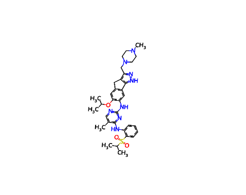 Cc1cnc(Nc2cc3c(cc2OC(C)C)Cc2c(CN4CCN(C)CC4)n[nH]c2-3)nc1Nc1ccccc1S(=O)(=O)C(C)C